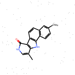 COc1ccc2c(ccc3c2[nH]c2c(C)c[nH]c(=O)c23)c1